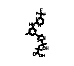 Cc1cc(Nc2nccc(C(F)(F)F)n2)cc(-c2cnc(C(C)(O)CC(C)(C)C(=O)O)s2)c1